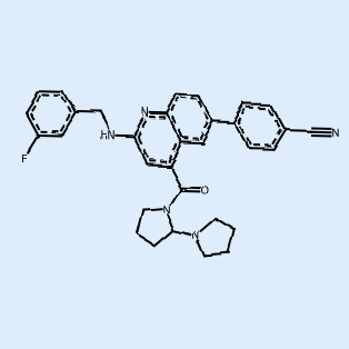 N#Cc1ccc(-c2ccc3nc(NCc4cccc(F)c4)cc(C(=O)N4CCCC4N4CCCC4)c3c2)cc1